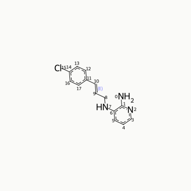 Nc1ncccc1NC/C=C/c1ccc(Cl)cc1